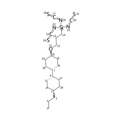 CCC[C@H]1CC[C@H]([C@H]2CC[C@H](OCCC[Si](N=C=S)(N=C=S)N=C=S)CC2)CC1